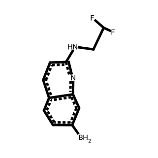 Bc1ccc2ccc(NCC(F)F)nc2c1